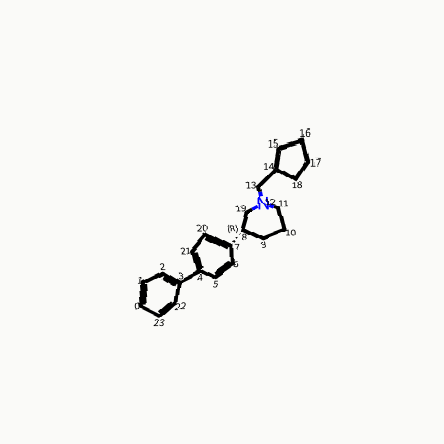 c1ccc(-c2ccc([C@H]3CCCN(CC4CCCC4)C3)cc2)cc1